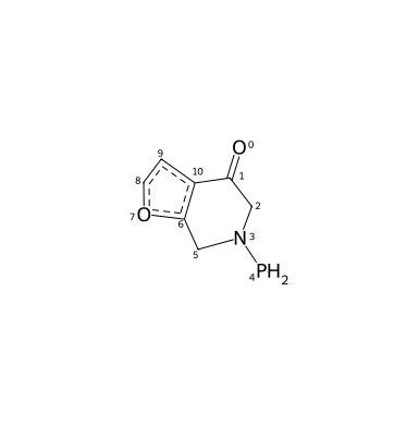 O=C1CN(P)Cc2occc21